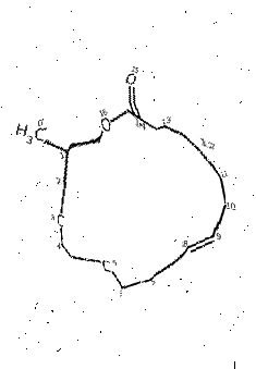 CC1CCCCCC/C=C/CCCCC(=O)O1